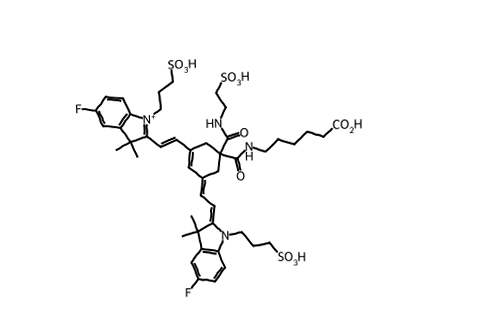 CC1(C)C(/C=C/C2=CC(=C/C=C3/N(CCCS(=O)(=O)O)c4ccc(F)cc4C3(C)C)/CC(C(=O)NCCCCCC(=O)O)(C(=O)NCCS(=O)(=O)O)C2)=[N+](CCCS(=O)(=O)O)c2ccc(F)cc21